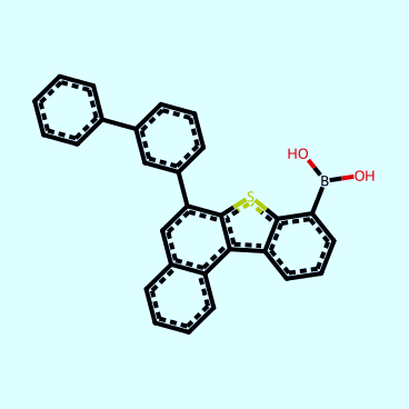 OB(O)c1cccc2c1sc1c(-c3cccc(-c4ccccc4)c3)cc3ccccc3c12